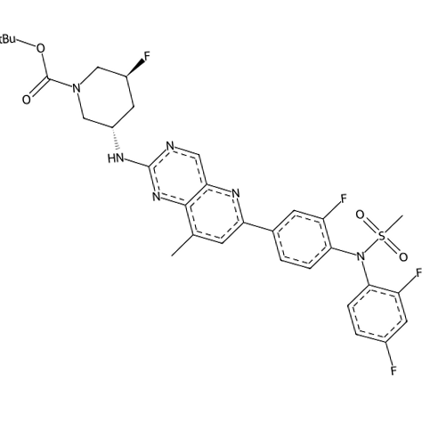 Cc1cc(-c2ccc(N(c3ccc(F)cc3F)S(C)(=O)=O)c(F)c2)nc2cnc(N[C@H]3C[C@H](F)CN(C(=O)OC(C)(C)C)C3)nc12